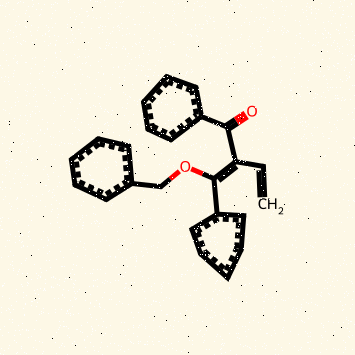 C=CC(C(=O)c1ccccc1)=C(OCc1ccccc1)c1ccccc1